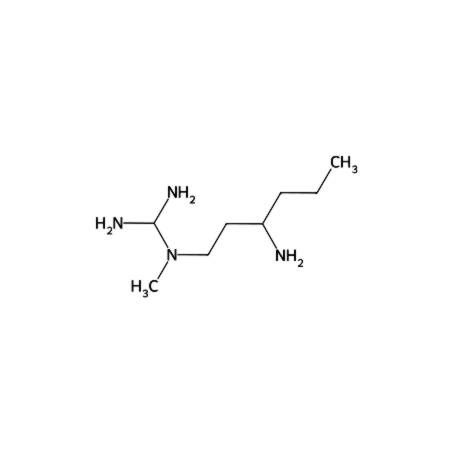 CCCC(N)CCN(C)C(N)N